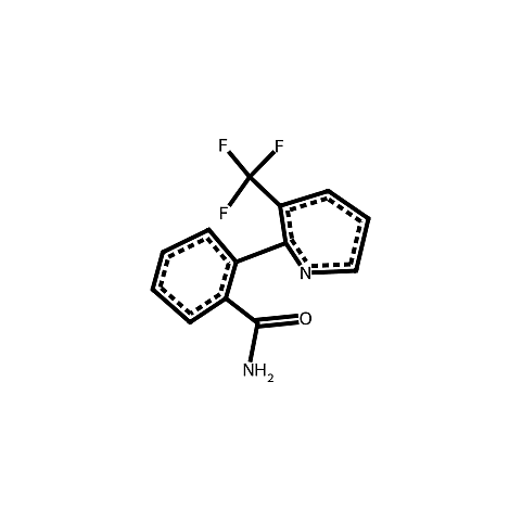 NC(=O)c1ccccc1-c1ncccc1C(F)(F)F